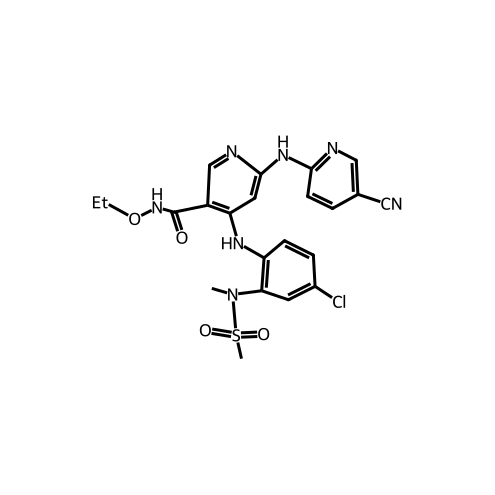 CCONC(=O)c1cnc(Nc2ccc(C#N)cn2)cc1Nc1ccc(Cl)cc1N(C)S(C)(=O)=O